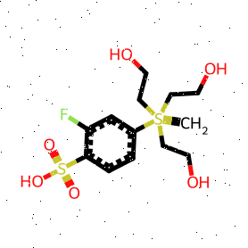 C=S(CCO)(CCO)(CCO)c1ccc(S(=O)(=O)O)c(F)c1